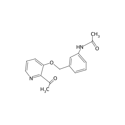 CC(=O)Nc1cccc(COc2cccnc2C(C)=O)c1